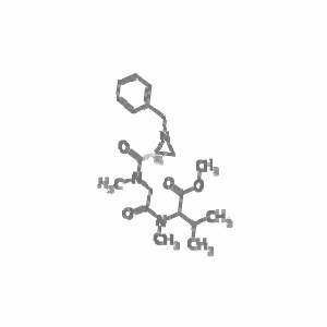 COC(=O)C(C(C)C)N(C)C(=O)CN(C)C(=O)[C@H]1CN1Cc1ccccc1